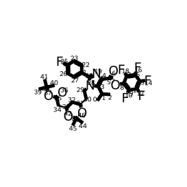 CC(C)c1c(C(=O)Oc2c(F)c(F)c(F)c(F)c2F)nc(-c2ccc(F)cc2)n1CC[C@@H]1C[C@H](CC(=O)OC(C)(C)C)OC(C)(C)O1